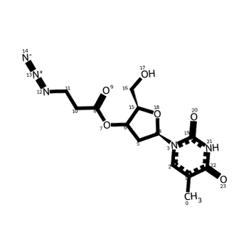 Cc1cn([C@H]2CC(OC(=O)CCN=[N+]=[N-])[C@@H](CO)O2)c(=O)[nH]c1=O